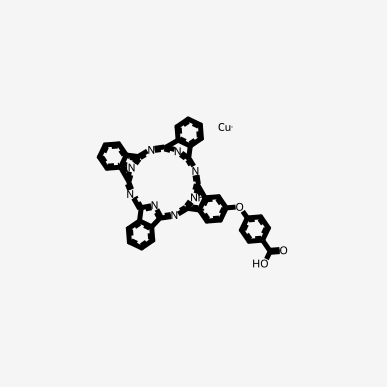 O=C(O)c1ccc(Oc2ccc3c4nc5nc(nc6[nH]c(nc7nc(nc([nH]4)c3c2)-c2ccccc2-7)c2ccccc62)-c2ccccc2-5)cc1.[Cu]